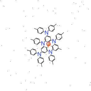 Cc1ccc(N(c2ccc(C)cc2)c2cc3c4c(c2)N(c2ccc(C)cc2)c2cc(N(c5ccc(C)cc5)c5ccc(C)cc5)cc5c2P4(=O)c2c(cc(C)cc2N5c2ccc(C)cc2)N3c2ccc(C)cc2)cc1